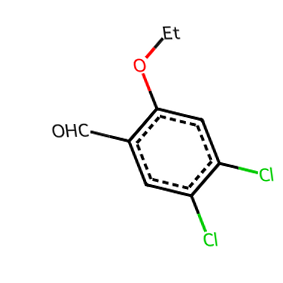 CCOc1cc(Cl)c(Cl)cc1C=O